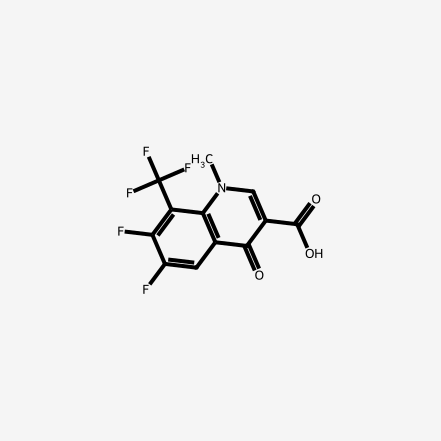 Cn1cc(C(=O)O)c(=O)c2cc(F)c(F)c(C(F)(F)F)c21